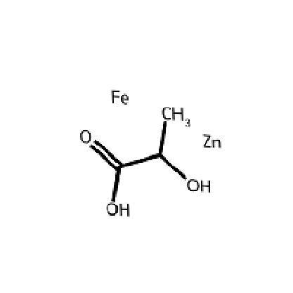 CC(O)C(=O)O.[Fe].[Zn]